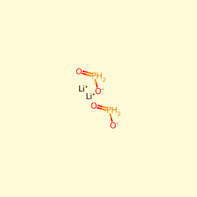 O=[PH2][O-].O=[PH2][O-].[Li+].[Li+]